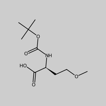 COCC[C@H](NC(=O)OC(C)(C)C)C(=O)O